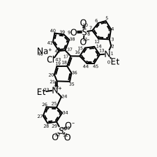 CCN(Cc1cccc(S(=O)(=O)[O-])c1)c1ccc(C(=C2C=CC(=[N+](CC)Cc3cccc(S(=O)(=O)[O-])c3)C=C2)c2ccccc2Cl)cc1.[Na+]